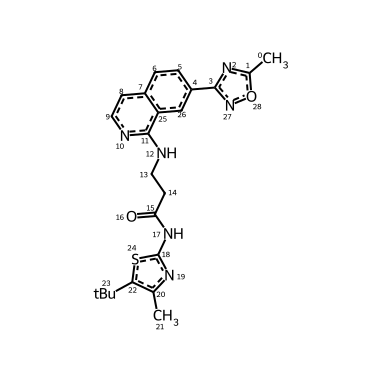 Cc1nc(-c2ccc3ccnc(NCCC(=O)Nc4nc(C)c(C(C)(C)C)s4)c3c2)no1